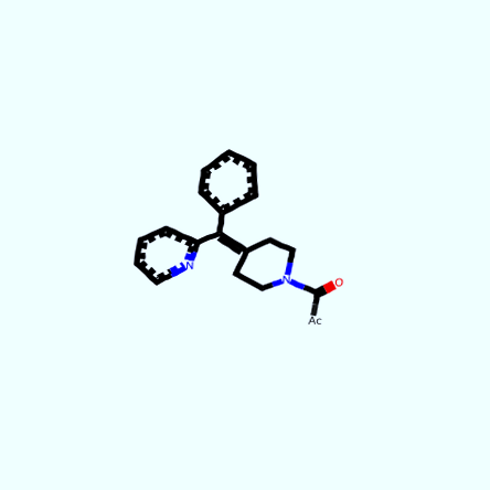 CC(=O)C(=O)N1CCC(=C(c2ccccc2)c2ccccn2)CC1